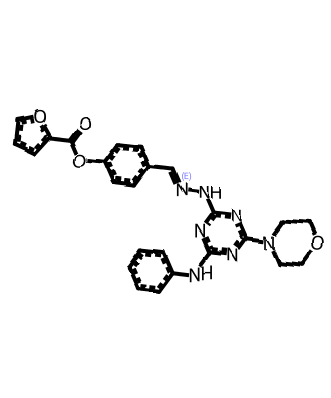 O=C(Oc1ccc(/C=N/Nc2nc(Nc3ccccc3)nc(N3CCOCC3)n2)cc1)c1ccco1